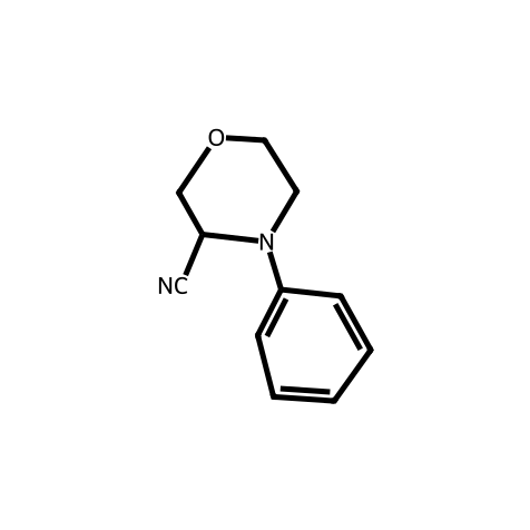 N#CC1COCCN1c1ccccc1